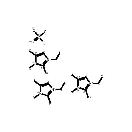 CC[n+]1cc(C)n(C)c1C.CC[n+]1cc(C)n(C)c1C.CC[n+]1cc(C)n(C)c1C.O=P([O-])([O-])[O-]